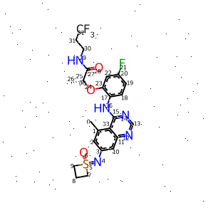 Cc1cc(N=S2(=O)CCC2)cc2ncnc(Nc3ccc(F)cc3O[C@H](C)C(=O)NCCC(F)(F)F)c12